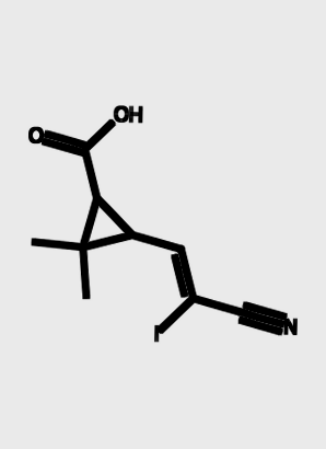 CC1(C)C(/C=C(\I)C#N)C1C(=O)O